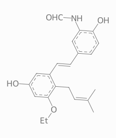 CCOc1cc(O)cc(C=Cc2ccc(O)c(NC=O)c2)c1CC=C(C)C